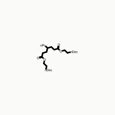 CCCCCCCCCCCCOC(=O)CCC(CCC)CCC(=O)OCCCCCCCCCCCC